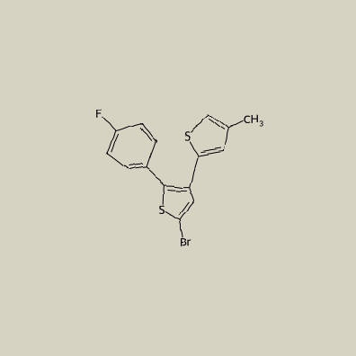 Cc1csc(-c2cc(Br)sc2-c2ccc(F)cc2)c1